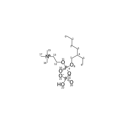 CCCCC(CC)COP(=O)(OCC[N+](C)(C)C)OP(=O)([O-])O